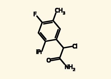 Cc1cc(C(Cl)C(N)=O)c(C(C)C)cc1F